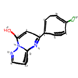 Oc1cc(-c2ccc(Cl)cc2)nc2ccnn12